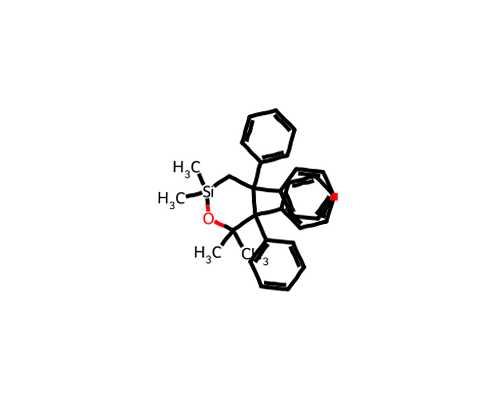 CC1(C)O[Si](C)(C)CC(c2ccccc2)(c2ccccc2)C1(c1ccccc1)c1ccccc1